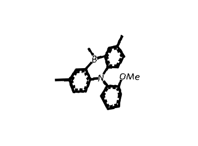 COc1ccccc1N1c2ccc(C)cc2B(C)c2cc(C)ccc21